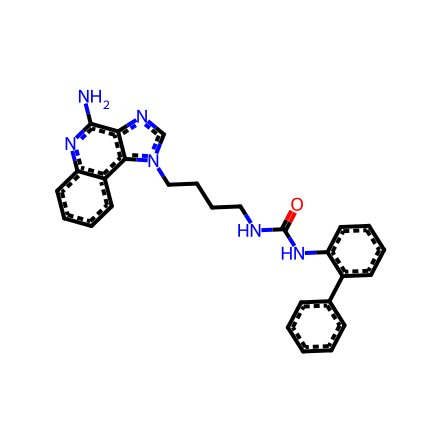 Nc1nc2ccccc2c2c1ncn2CCCCNC(=O)Nc1ccccc1-c1ccccc1